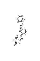 CN1CC2CN(c3cncc(OCc4ccccc4)c3)CC2C1